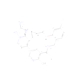 Cc1ncc(C2=CC3=NC(N)NN3C=C2)cc1C(=O)NCc1ccc(F)cc1OCC1CC1